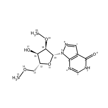 O=c1[nH]cnc2c1cnn2[C@@H]1O[C@H](CO[SiH3])[C@@H](O)[C@H]1O[SiH3]